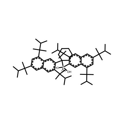 CC(C)C(C)(C)c1cc(C(C)(C)C(C)C)c2cc(C3(P(O)(O)(O)c4cc5c(C(C)(C)C(C)C)cc(C(C)(C)C(C)C)cc5cc4C(C)(C)C(C)C)CCCCC3)c(C(C)(C)C(C)C)cc2c1